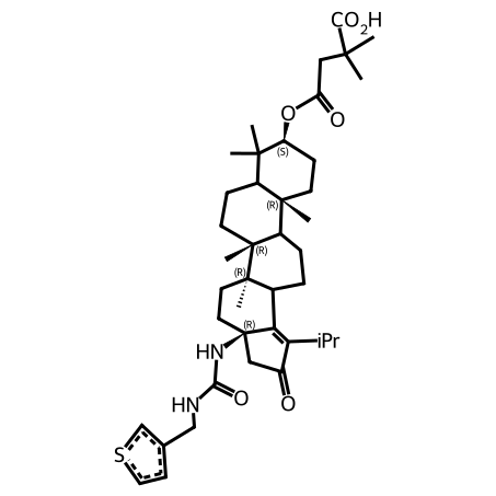 CC(C)C1=C2C3CCC4[C@@]5(C)CC[C@H](OC(=O)CC(C)(C)C(=O)O)C(C)(C)C5CC[C@@]4(C)[C@]3(C)CC[C@@]2(NC(=O)NCc2ccsc2)CC1=O